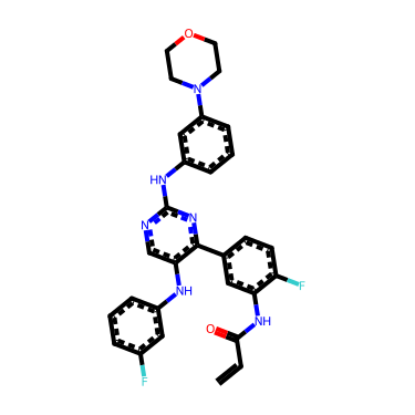 C=CC(=O)Nc1cc(-c2nc(Nc3cccc(N4CCOCC4)c3)ncc2Nc2cccc(F)c2)ccc1F